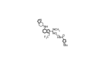 C=N/C(=N\OCCNC(=O)c1ccn(C(C)(C)C)c1)c1cc2c(NC3CCn4ccnc4C3)cccc2n1CC(F)(F)F